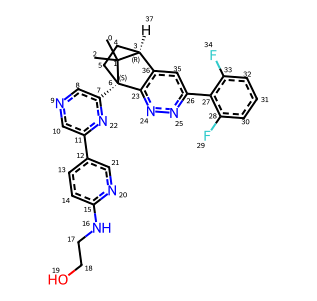 CC1(C)[C@H]2CC[C@]1(c1cncc(-c3ccc(NCCO)nc3)n1)c1nnc(-c3c(F)cccc3F)cc12